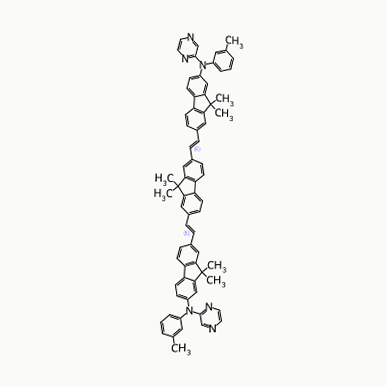 Cc1cccc(N(c2ccc3c(c2)C(C)(C)c2cc(/C=C/c4ccc5c(c4)C(C)(C)c4cc(/C=C/c6ccc7c(c6)C(C)(C)c6cc(N(c8cccc(C)c8)c8cnccn8)ccc6-7)ccc4-5)ccc2-3)c2cnccn2)c1